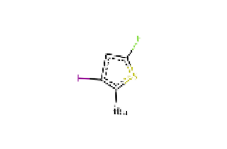 CC(C)(C)c1sc(F)cc1I